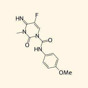 COc1ccc(NC(=O)n2cc(F)c(=N)n(C)c2=O)cc1